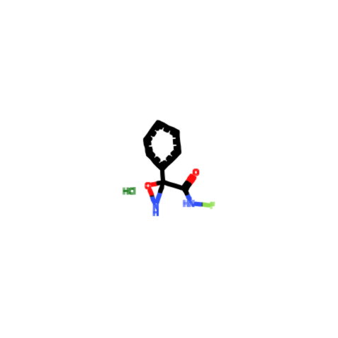 Cl.O=C(NF)C1(c2ccccc2)NO1